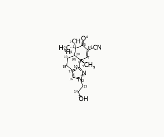 CC1(C)C(=O)C(C#N)=C[C@]2(C)c3nn(CCO)cc3CC[C@@H]12